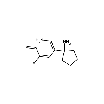 C=C/C(F)=C\C(=C/N)C1(N)CCCC1